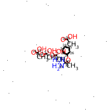 CC(=O)O.CC(=O)O.CC(=O)O.CC(=O)O.CC(N)(N)Oc1ccccc1